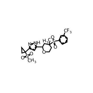 CC1(S(=O)(=O)c2cccc(C(F)(F)F)c2)CCOC(c2cc(C3(S(C)(=O)=O)CC3)n[nH]2)C1